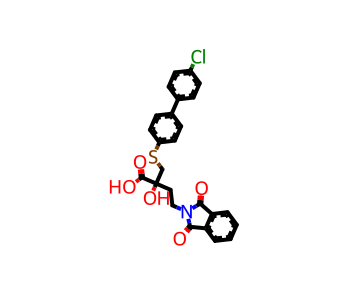 O=C1c2ccccc2C(=O)N1CCC(O)(CSc1ccc(-c2ccc(Cl)cc2)cc1)C(=O)O